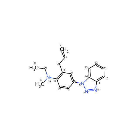 C=CCc1cc(-n2nnc3ccccc32)ccc1N(C)CC